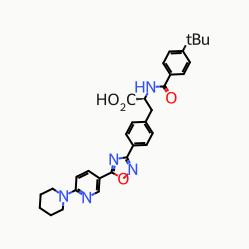 CC(C)(C)c1ccc(C(=O)N[C@@H](Cc2ccc(-c3noc(-c4ccc(N5CCCCC5)nc4)n3)cc2)C(=O)O)cc1